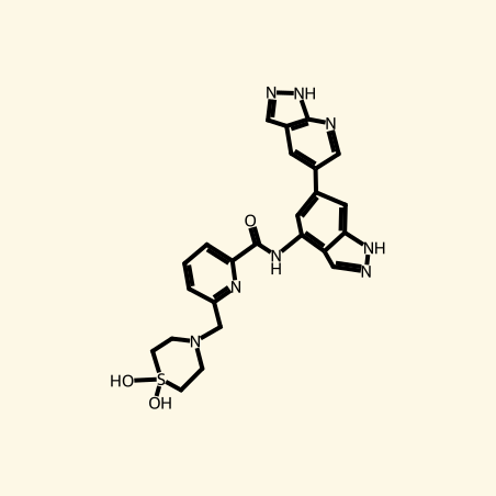 O=C(Nc1cc(-c2cnc3[nH]ncc3c2)cc2[nH]ncc12)c1cccc(CN2CCS(O)(O)CC2)n1